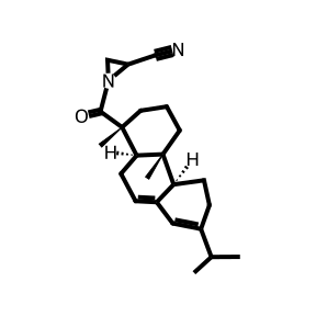 CC(C)C1=CC2=CC[C@@H]3[C@](C)(CCC[C@@]3(C)C(=O)N3CC3C#N)[C@H]2CC1